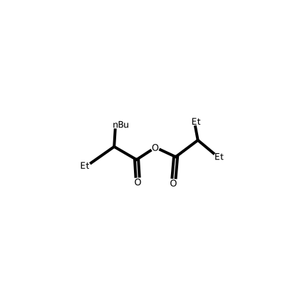 CCCCC(CC)C(=O)OC(=O)C(CC)CC